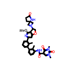 COc1nc(-c2cccc(-c3cccc(NC(=O)c4cn(C)c(=O)n(C)c4=O)c3C)c2C)cc2c1C(N1CC3(CCC(=O)N3)C1)CO2